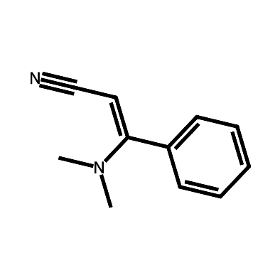 CN(C)C(=CC#N)c1ccccc1